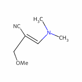 COCC(C#N)=CN(C)C